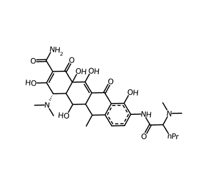 CCCC(C(=O)Nc1ccc2c(c1O)C(=O)C1=C(O)C3(O)C(=O)C(C(N)=O)=C(O)[C@@H](N(C)C)C3C(O)C1C2C)N(C)C